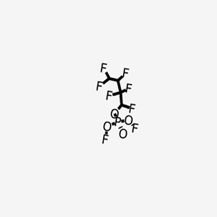 O=P(OF)(OF)OC(F)C(F)(F)C(F)C(F)F